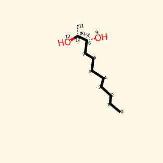 CCCCCCCC[C@@H](O)[C@@H](C)O